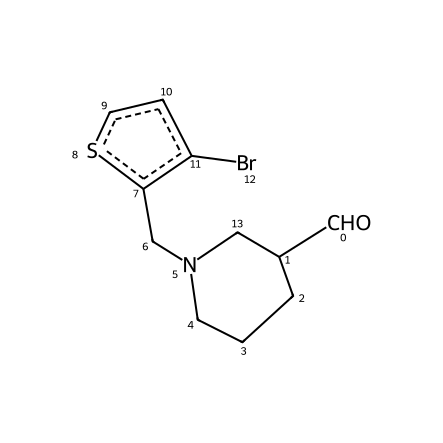 O=CC1CCCN(Cc2sccc2Br)C1